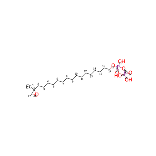 CCC1(CCCCCCCCCCCCCCCCOP(=O)(O)OP(=O)(O)O)CO1